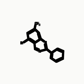 Cc1cc(Br)c2cnc(-c3ccccc3)nc2c1